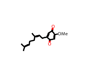 COC1=CC(=O)C(CC=C(C)CCC=C(C)C)=CC1=O